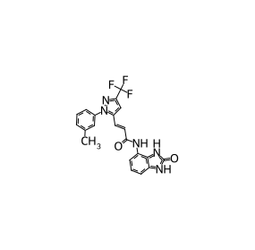 Cc1cccc(-n2nc(C(F)(F)F)cc2/C=C/C(=O)Nc2cccc3[nH]c(=O)[nH]c23)c1